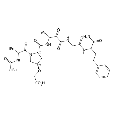 CCCC(NC(=O)[C@@H]1C[C@@H](OCC(=O)O)CN1C(=O)C(NC(=O)OCC(C)C)C(C)C)C(=O)C(=O)NCC(=O)NC(CCc1ccccc1)C(N)=O